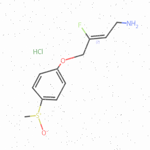 C[S+]([O-])c1ccc(OC/C(F)=C/CN)cc1.Cl